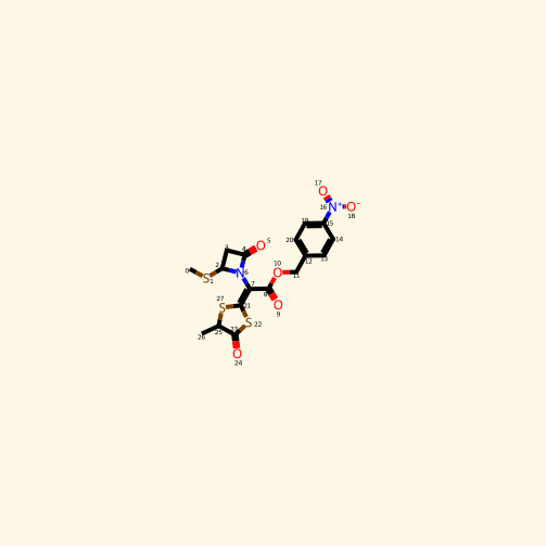 CSC1CC(=O)N1C(C(=O)OCc1ccc([N+](=O)[O-])cc1)=C1SC(=O)C(C)S1